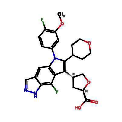 COc1cc(-n2c(C3CCOCC3)c([C@@H]3CO[C@@H](C(=O)O)C3)c3c(F)c4[nH]ncc4cc32)ccc1F